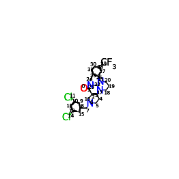 O=C1C2=C(CCN(Cc3cc(Cl)cc(Cl)c3)C2)N2CCCN=C2N1Cc1ccc(C(F)(F)F)cc1